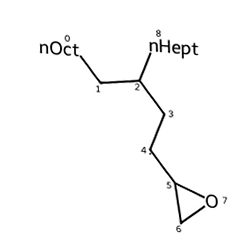 CCCCCCCCCC(C[CH]C1CO1)CCCCCCC